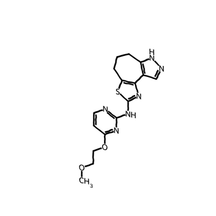 COCCOc1ccnc(Nc2nc3c(s2)CCCc2[nH]ncc2-3)n1